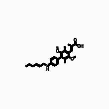 CCC/C=C/CNc1ccc(-c2c(C)c(OC)c(/C=C(\C)C(=O)O)c(C)c2OC)cc1